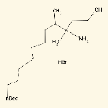 Br.CCCCCCCCCCCCCCCCCC(C)C(C)(N)CCO